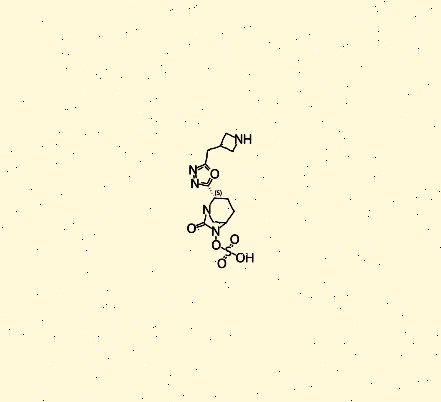 O=C1N(OS(=O)(=O)O)C2CC[C@@H](c3nnc(CC4CNC4)o3)N1C2